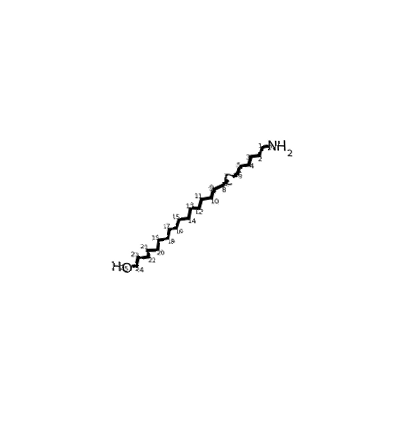 NCCCCCCCCCCCCCCCCCCCCCCCCO